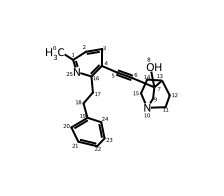 Cc1ccc(C#CC2(O)CN3CCC2CC3)c(CCc2ccccc2)n1